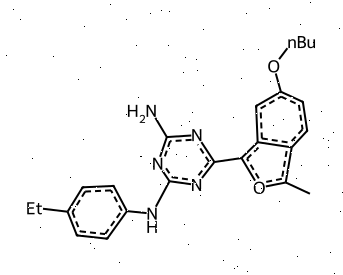 CCCCOc1ccc2c(C)oc(-c3nc(N)nc(Nc4ccc(CC)cc4)n3)c2c1